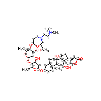 CC1CN(CCN(C)C)CCC(O[C@@H]2[C@H](C)O[C@@H](O[C@@H]3[C@H](C)O[C@@H](O[C@H]4CC[C@@]5(C)C(CCC6C5C[C@H](O)[C@]5(C)[C@@H](C7=CC(=O)OC7)CC[C@]65O)C4)C[C@@H]3O)C[C@@H]2O)O1